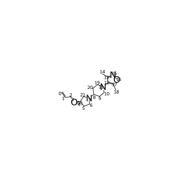 C=CCO[C@@H]1CCN(C2CCN(c3c(C)noc3C)CC2)C1